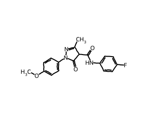 COc1ccc(N2N=C(C)C(C(=O)Nc3ccc(F)cc3)C2=O)cc1